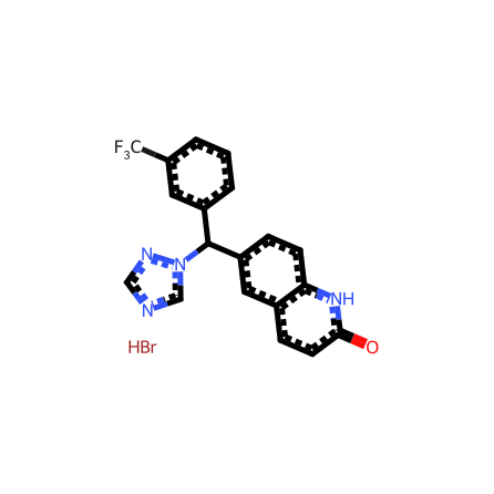 Br.O=c1ccc2cc(C(c3cccc(C(F)(F)F)c3)n3cncn3)ccc2[nH]1